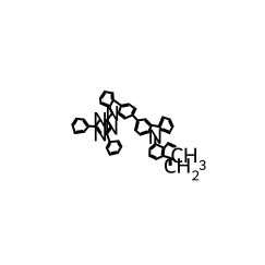 C=Cc1cccc(-n2c3ccccc3c3cc(-c4ccc5c6ccccc6n(-c6nc(-c7ccccc7)nc(-c7ccccc7)n6)c5c4)ccc32)c1/C=C\C